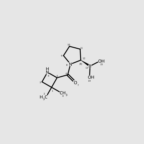 CC1(C)CNC1C(=O)N1CCC[C@H]1B(O)O